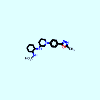 Cc1nnc(-c2ccc(N3CCCC(NC4CCCCC4NC(=O)O)C3)cc2)o1